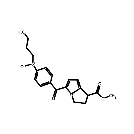 CCCC[S+]([O-])c1ccc(C(=O)c2ccc3n2CCC3C(=O)OC)cc1